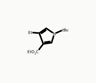 CCOC(=O)c1cn(C(C)(C)C)cc1CC